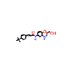 CN1CC(CO)Oc2ccc(NC(=O)/C=C/c3ccc(C(C)(C)C)cc3)cc21